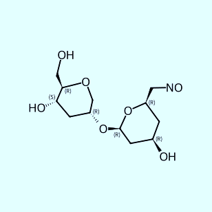 O=NC[C@H]1C[C@@H](O)C[C@@H](O[C@H]2CO[C@H](CO)[C@@H](O)C2)O1